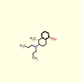 CCCN(CCC)[C@@H]1CCc2c(O)cccc2[C@H]1C